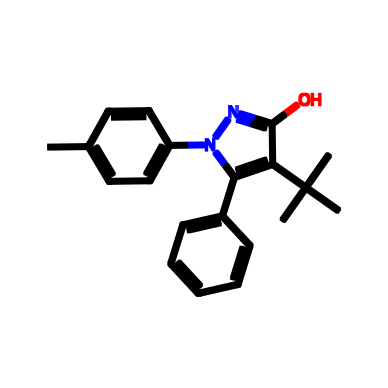 Cc1ccc(-n2nc(O)c(C(C)(C)C)c2-c2ccccc2)cc1